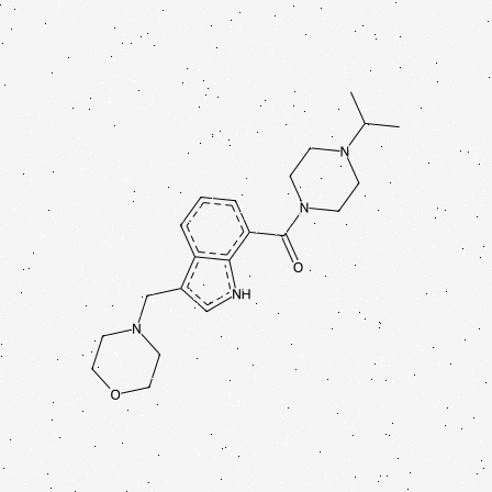 CC(C)N1CCN(C(=O)c2cccc3c(CN4CCOCC4)c[nH]c23)CC1